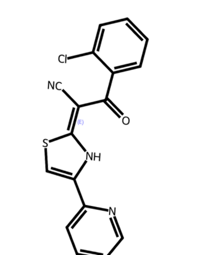 N#C/C(C(=O)c1ccccc1Cl)=C1/NC(c2ccccn2)=CS1